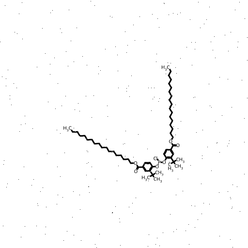 CCCCCCCCCCCCCCCCCCOC(=O)c1ccc(OP(Cl)Oc2ccc(C(=O)OCCCCCCCCCCCCCCCCCC)cc2C(C)(C)C)c(C(C)(C)C)c1